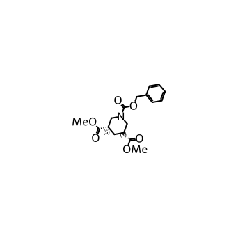 COC(=O)[C@@H]1C[C@H](C(=O)OC)CN(C(=O)OCc2ccccc2)C1